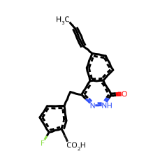 CC#Cc1ccc2c(=O)[nH]nc(Cc3ccc(F)c(C(=O)O)c3)c2c1